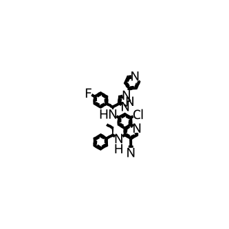 CC[C@@H](Nc1c(C#N)cnc2c(Cl)cc(N[C@@H](c3ccc(F)cc3)c3cn(-c4ccncc4)nn3)cc12)c1ccccc1